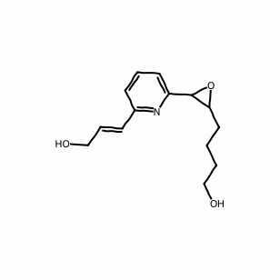 OCC=Cc1cccc(C2OC2CCCCO)n1